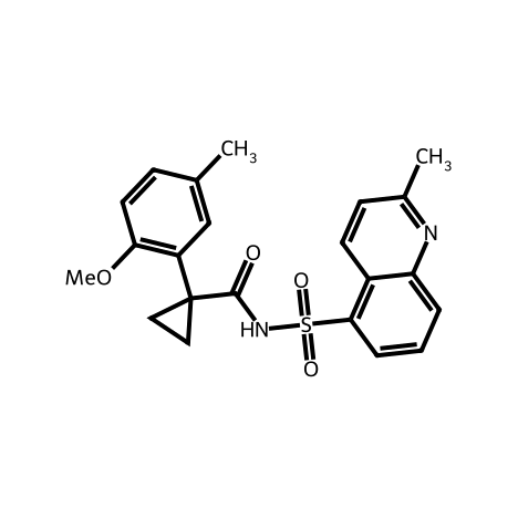 COc1ccc(C)cc1C1(C(=O)NS(=O)(=O)c2cccc3nc(C)ccc23)CC1